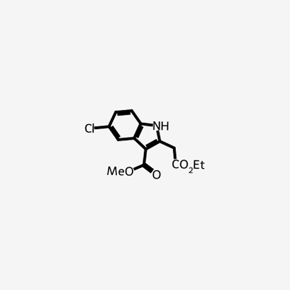 CCOC(=O)Cc1[nH]c2ccc(Cl)cc2c1C(=O)OC